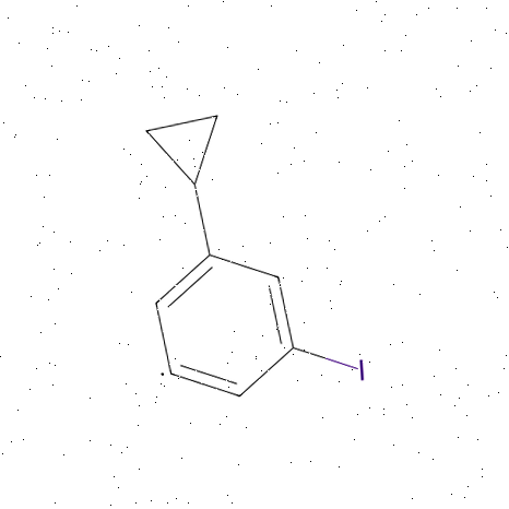 Ic1c[c]cc(C2CC2)c1